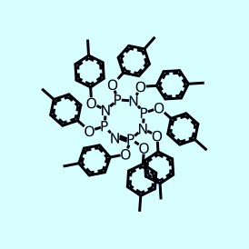 Cc1ccc(ON2P(Oc3ccc(C)cc3)N=P(Oc3ccc(C)cc3)(Oc3ccc(C)cc3)N(Oc3ccc(C)cc3)P(Oc3ccc(C)cc3)N(Oc3ccc(C)cc3)P2Oc2ccc(C)cc2)cc1